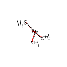 CCCCCCCCCCCCCCCCC[n+]1ccc(CCCCCCCCCCCCCCC)c(CCCCCCCCCCCCCCC)c1